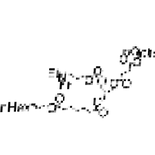 CCCCCCC=CCOC(=O)CCCCCC(=O)OCC(COC(=O)CCC(OCCCCCCCC)OCCCCCCCC)COC(=O)OCCCN(CC)CC